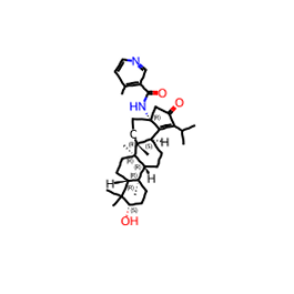 Cc1ccncc1C(=O)N[C@@]12CC[C@]3(C)[C@H](CC[C@@H]4[C@@]5(C)CC[C@H](O)C(C)(C)[C@@H]5CC[C@]43C)C1=C(C(C)C)C(=O)C2